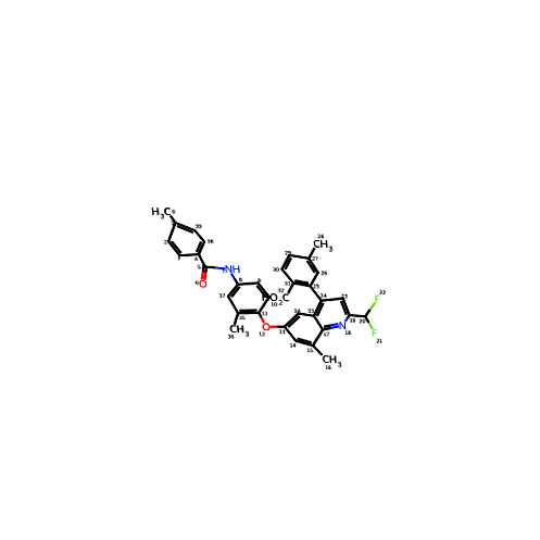 Cc1ccc(C(=O)Nc2ccc(Oc3cc(C)c4nc(C(F)F)cc(-c5cc(C)ccc5C(=O)O)c4c3)c(C)c2)cc1